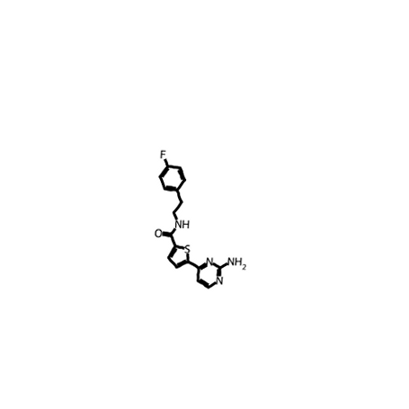 Nc1nccc(-c2ccc(C(=O)NCCc3ccc(F)cc3)s2)n1